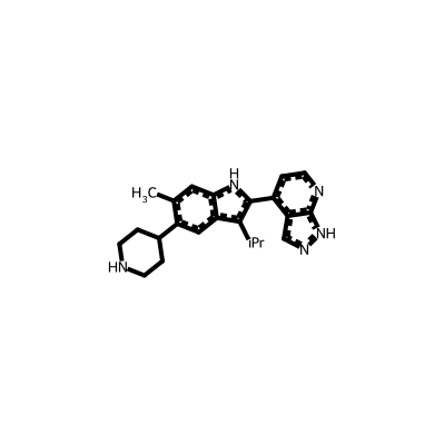 Cc1cc2[nH]c(-c3ccnc4[nH]ncc34)c(C(C)C)c2cc1C1CCNCC1